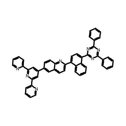 c1ccc(-c2nc(-c3ccccc3)nc(-c3ccc(-c4ccc5cc(-c6cc(-c7ccccn7)nc(-c7ccccn7)c6)ccc5n4)c4ccccc34)n2)cc1